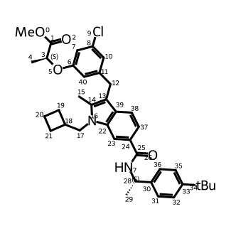 COC(=O)[C@H](C)Oc1cc(Cl)cc(Cc2c(C)n(CC3CCC3)c3cc(C(=O)N[C@@H](C)c4ccc(C(C)(C)C)cc4)ccc23)c1